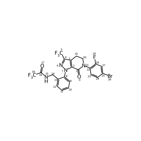 O=C1c2c(c(C(F)(F)F)nn2-c2ccccc2CNC(=O)C(F)(F)F)CCN1c1ccc(Br)cc1F